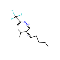 C=C(/N=C\C(=C/CCCC)C(C)C)C(F)(F)F